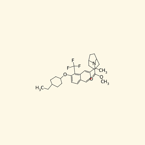 CCC1CCC(Oc2ccc3ccc(C(C)N4C5CCC4CC(C(=O)OC)C5)cc3c2C(F)(F)F)CC1